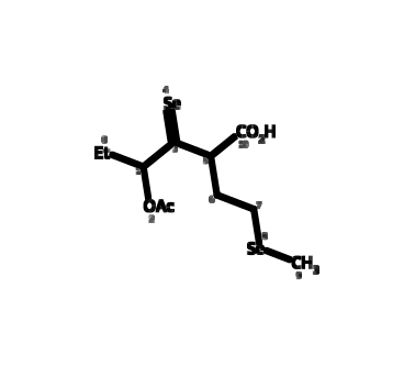 CCC(OC(C)=O)C(=[Se])C(CC[Se]C)C(=O)O